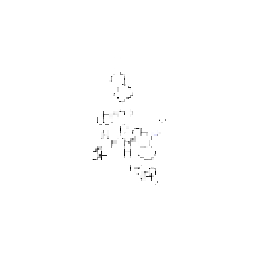 C[C@@H](NC(=O)[C@@H]1C[C@@H](O)CN1C(=O)CNC(=O)c1ccc2cc(F)ccc2n1)c1cc(S(N)(=O)=O)ccc1/C=C/C1CC1